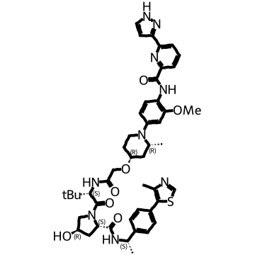 COc1cc(N2CC[C@@H](OCC(=O)N[C@H](C(=O)N3C[C@H](O)C[C@H]3C(=O)N[C@@H](C)c3ccc(-c4scnc4C)cc3)C(C)(C)C)C[C@H]2C)ccc1NC(=O)c1cccc(-c2cc[nH]n2)n1